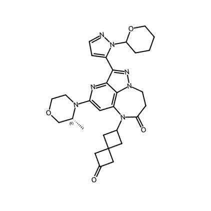 C[C@@H]1COCCN1c1cc2c3c(n1)c(-c1ccnn1C1CCCCO1)nn3CCC(=O)N2C1CC2(CC(=O)C2)C1